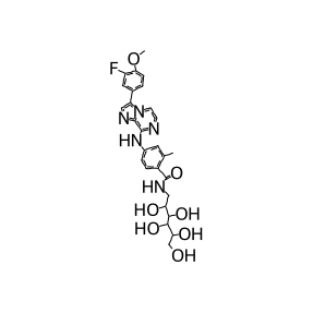 COc1ccc(-c2cnc3c(Nc4ccc(C(=O)NCC(O)C(O)C(O)C(O)CO)c(C)c4)nccn23)cc1F